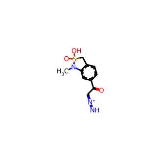 CN1c2cc(C(=O)C=[N+]=N)ccc2CS1([O-])O